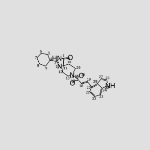 O=C1NC(C2CCCCC2)=NC12CCN(S(=O)(=O)/C=C/c1cccc3[nH]ccc13)CC2